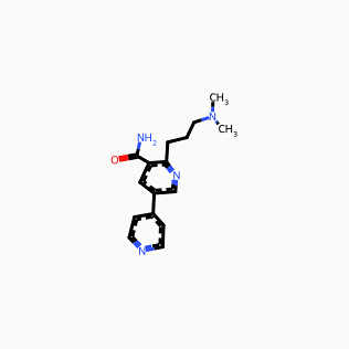 CN(C)CCCc1ncc(-c2ccncc2)cc1C(N)=O